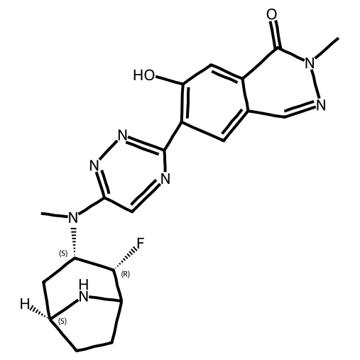 CN(c1cnc(-c2cc3cnn(C)c(=O)c3cc2O)nn1)[C@H]1C[C@@H]2CCC(N2)[C@H]1F